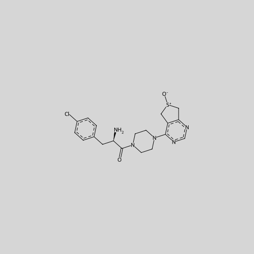 N[C@H](Cc1ccc(Cl)cc1)C(=O)N1CCN(c2ncnc3c2C[S+]([O-])C3)CC1